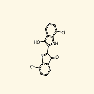 O=C1C(c2[nH]c3c(Cl)cccc3c2O)=Nc2c(Cl)cccc21